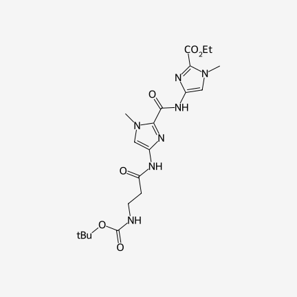 CCOC(=O)c1nc(NC(=O)c2nc(NC(=O)CCNC(=O)OC(C)(C)C)cn2C)cn1C